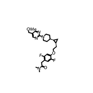 COCc1cnc(N2CCC([C@H]3C[C@H]3CCOc3cc(F)c(CC(=O)N(C)C)cc3F)CC2)nc1